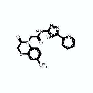 O=C(CN1C(=O)CSc2cc(C(F)(F)F)ccc21)Nc1nnc(-c2ccccn2)[nH]1